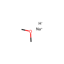 COC.[H-].[Na+]